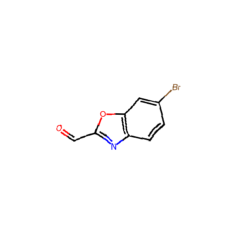 O=Cc1nc2ccc(Br)cc2o1